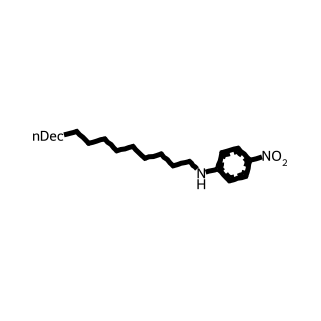 CCCCCCCCCCCCCCCCCCCNc1ccc([N+](=O)[O-])cc1